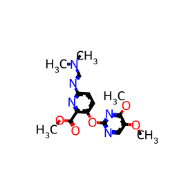 COC(=O)c1nc(N=CN(C)C)ccc1Oc1ncc(OC)c(OC)n1